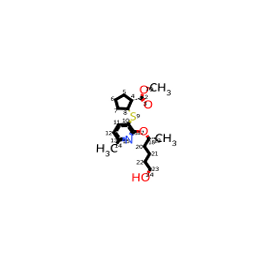 COC(=O)[C@H]1CCC[C@H]1Sc1ccc(C)nc1O[C@H](C)CCCCO